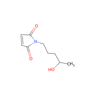 CC(O)CCCN1C(=O)C=CC1=O